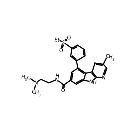 CCS(=O)(=O)c1cccc(-c2cc(C(=O)NCCN(C)C)cc3[nH]c4ncc(C)cc4c23)c1